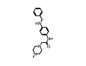 CN1CCN(CC(=O)N(C)c2ccc(N[C]c3ccccc3)cc2)CC1